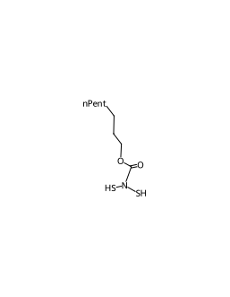 CCCCCCCCOC(=O)N(S)S